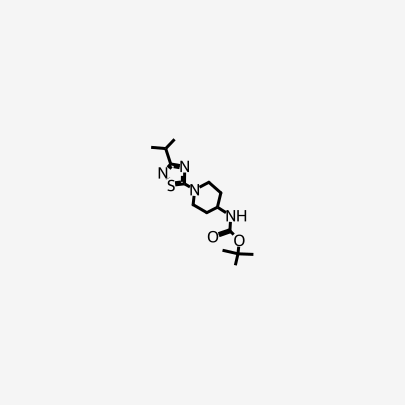 CC(C)c1nsc(N2CCC(NC(=O)OC(C)(C)C)CC2)n1